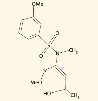 COS/C(=C\C(C)O)N(C)S(=O)(=O)c1cccc(OC)c1